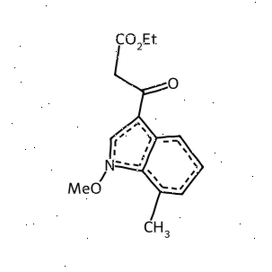 CCOC(=O)CC(=O)c1cn(OC)c2c(C)cccc12